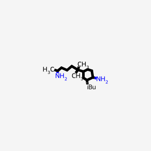 CCC(C)C1CC(C(C)(C)CCCC(C)N)CCC1N